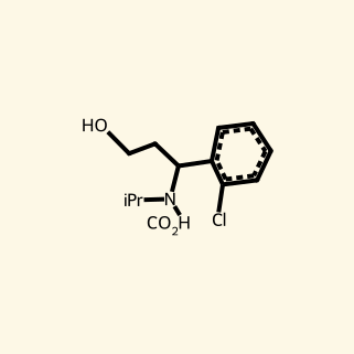 CC(C)N(C(=O)O)C(CCO)c1ccccc1Cl